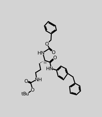 CC(C)(C)OC(=O)NCCC[C@H](NC(=O)OCc1ccccc1)C(=O)Nc1ccc(Cc2ccccc2)cc1